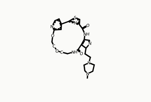 CN1CCN(CCC2N=CC3=C2C(=O)NCCOCCOc2cc(ccn2)-c2nc(cs2)C(=O)N3)CC1